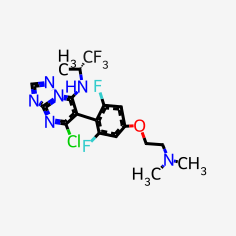 C[C@@H](Nc1c(-c2c(F)cc(OCCN(C)C)cc2F)c(Cl)nc2ncnn12)C(F)(F)F